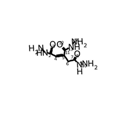 NNC(=O)C=C(CC(=O)NN)C(=O)NN